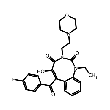 CCN1C(=O)N(CCN2CCOCC2)C(=O)/C(O)=C(/C(=O)c2ccc(F)cc2)c2ccccc21